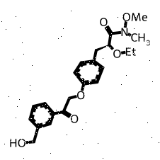 CCO[C@@H](Cc1ccc(OCC(=O)c2cccc(CO)c2)cc1)C(=O)N(C)OC